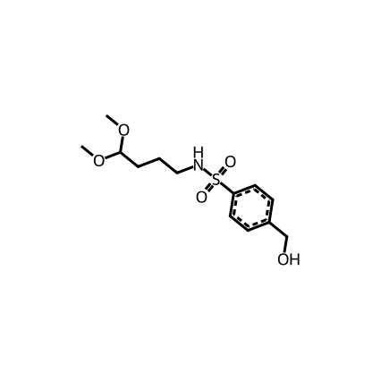 COC(CCCNS(=O)(=O)c1ccc(CO)cc1)OC